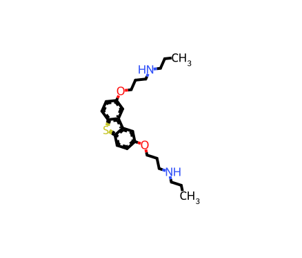 CCCNCCCOc1ccc2sc3ccc(OCCCNCCC)cc3c2c1